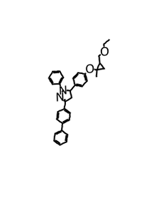 CCOCC1CC1(C)Oc1ccc(C2CC(c3ccc(-c4ccccc4)cc3)=NN2c2ccccc2)cc1